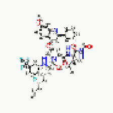 C=CCCCCC[C@H](Nc1cc(F)cc(C(F)(F)F)c1)C(=O)N1C[C@H](Oc2cc(-c3ccccc3)nc3cc(OC)ccc23)C[C@H]1C(=O)N[C@]1(C(=O)NC=O)C[C@H]1C=C